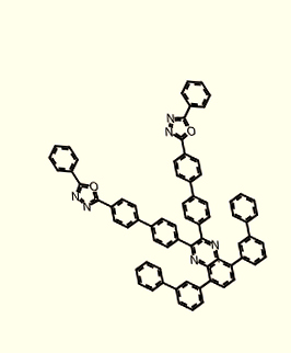 c1ccc(-c2cccc(-c3ccc(-c4cccc(-c5ccccc5)c4)c4nc(-c5ccc(-c6ccc(-c7nnc(-c8ccccc8)o7)cc6)cc5)c(-c5ccc(-c6ccc(-c7nnc(-c8ccccc8)o7)cc6)cc5)nc34)c2)cc1